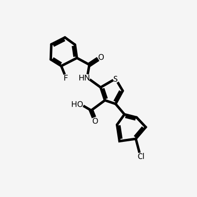 O=C(Nc1scc(-c2ccc(Cl)cc2)c1C(=O)O)c1ccccc1F